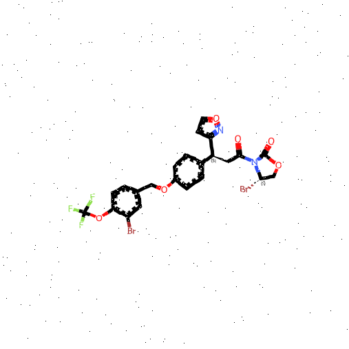 O=C(C[C@@H](c1ccc(OCc2ccc(OC(F)(F)F)c(Br)c2)cc1)c1ccon1)N1C(=O)OC[C@@H]1Br